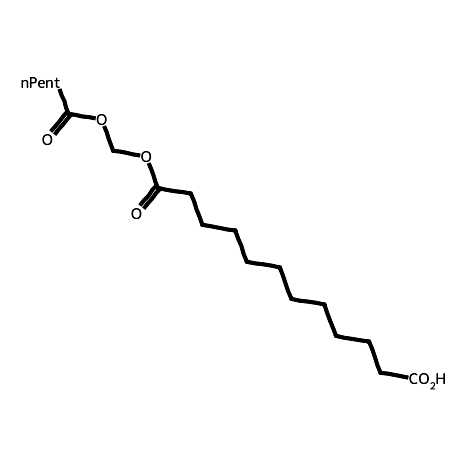 CCCCCC(=O)OCOC(=O)CCCCCCCCCCC(=O)O